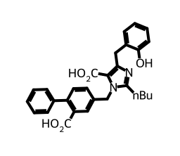 CCCCc1nc(Cc2ccccc2O)c(C(=O)O)n1Cc1ccc(-c2ccccc2)c(C(=O)O)c1